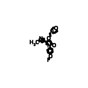 Cn1cc(-c2cn(-c3ccc(OCF)cc3)c(=O)cc2OCCN2CCOCC2)cn1